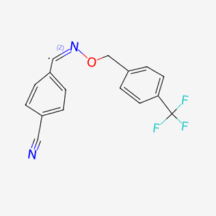 N#Cc1ccc(/[C]=N\OCc2ccc(C(F)(F)F)cc2)cc1